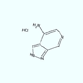 Cl.Nc1cncc2n[nH]cc12